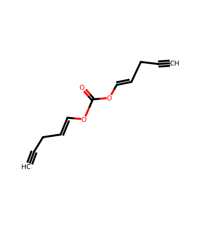 C#CCC=COC(=O)OC=CCC#C